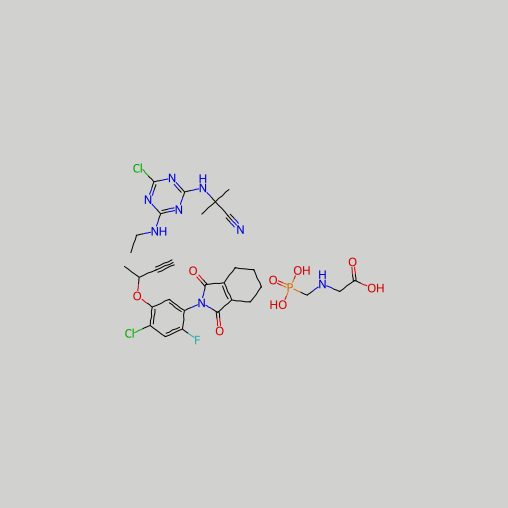 C#CC(C)Oc1cc(N2C(=O)C3=C(CCCC3)C2=O)c(F)cc1Cl.CCNc1nc(Cl)nc(NC(C)(C)C#N)n1.O=C(O)CNCP(=O)(O)O